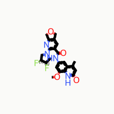 COc1cc(NC(=O)c2cc3c(nc2N2C[C@@H](F)[C@@H](F)C2)COC3)cc2c(C)cc(=O)[nH]c12